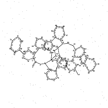 C=C1CC2[n+]3ccccc3-c3ccccc3C2(CCC23CC(=C)[n+]4ccc(C)cc4-c4c(ccc5c4oc4ccccc45)CCC2c2ccccc2-c2cccc[n+]23)CCc2ccccc2-c2cc(-c3ccccn3)cc[n+]21